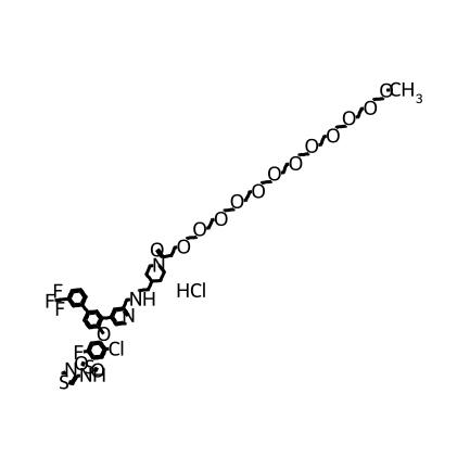 COCCOCCOCCOCCOCCOCCOCCOCCOCCOCCOCCOCCC(=O)N1CCC(CCNCc2cc(-c3cc(-c4cccc(C(F)(F)F)c4)ccc3Oc3cc(F)c(S(=O)(=O)Nc4cscn4)cc3Cl)ccn2)CC1.Cl